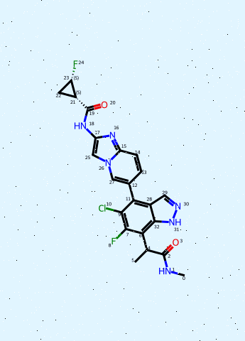 CNC(=O)C(C)c1c(F)c(Cl)c(-c2ccc3nc(NC(=O)[C@@H]4C[C@@H]4F)cn3c2)c2cn[nH]c12